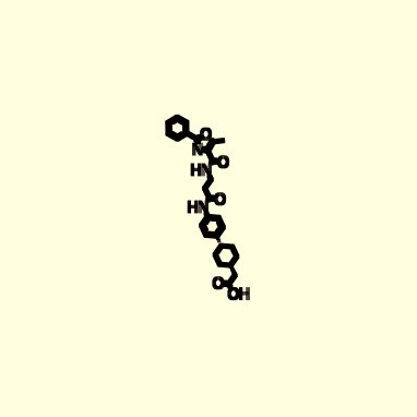 Cc1oc(-c2ccccc2)nc1C(=O)NCCC(=O)Nc1ccc([C@H]2CC[C@H](CC(=O)O)CC2)cc1